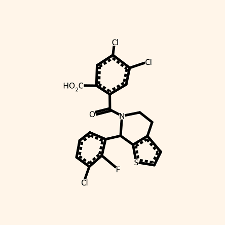 O=C(O)c1cc(Cl)c(Cl)cc1C(=O)N1CCc2ccsc2C1c1cccc(Cl)c1F